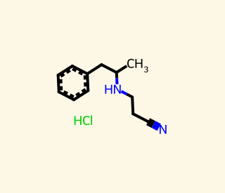 CC(Cc1ccccc1)NCCC#N.Cl